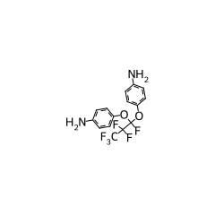 Nc1ccc(OC(F)(Oc2ccc(N)cc2)C(F)(F)C(F)(F)F)cc1